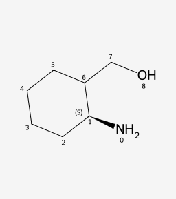 N[C@H]1CCCCC1CO